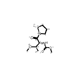 COC(=O)N[C@H](C(=O)N1CCC[C@H]1C)[C@@H](C)OC